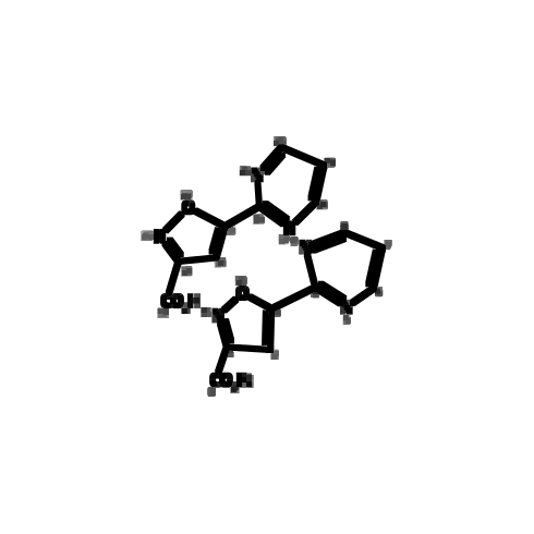 CCOC(=O)c1cc(-c2ncccn2)on1.O=C(O)c1cc(-c2ncccn2)on1